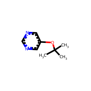 CC(C)(C)Oc1cncnc1